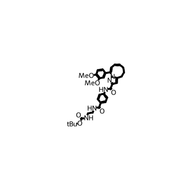 COc1ccc(/C2=C/C=C\CCCc3cc(C(=O)Nc4ccc(C(=O)NCCNC(=O)OC(C)(C)C)cc4)nn32)cc1OC